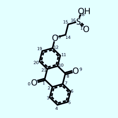 O=C1c2ccccc2C(=O)c2cc(OCCS(=O)O)ccc21